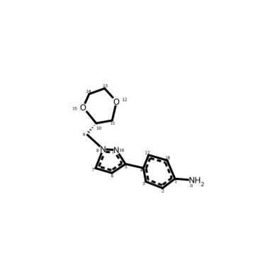 Nc1ccc(-c2ccn(C[C@H]3COCCO3)n2)cc1